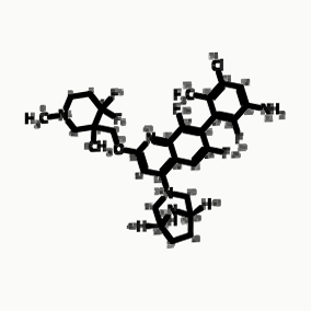 CN1CCC(F)(F)C(C)(COc2cc(N3C[C@H]4CC[C@@H](C3)N4)c3cc(F)c(-c4c(F)c(N)cc(Cl)c4C(F)(F)F)c(F)c3n2)C1